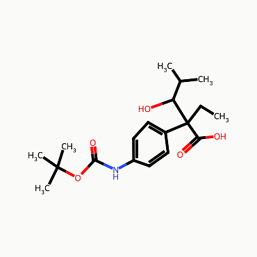 CCC(C(=O)O)(c1ccc(NC(=O)OC(C)(C)C)cc1)C(O)C(C)C